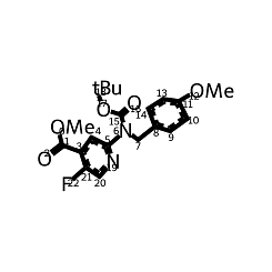 COC(=O)c1cc(N(Cc2ccc(OC)cc2)C(=O)OC(C)(C)C)ncc1F